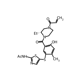 C=CC(=O)N1CCN(C(=O)c2cc(Sc3cnc(NC(C)=O)s3)c(C)cc2O)[C@H](CC)C1